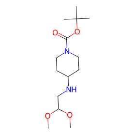 COC(CNC1CCN(C(=O)OC(C)(C)C)CC1)OC